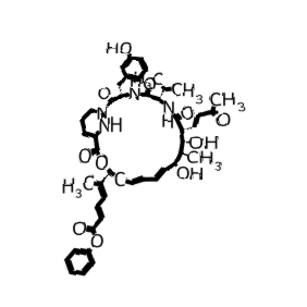 CC(=O)CC[C@H]1C(=O)N[C@@H](C(C)C)C(=O)N[C@@H](Cc2cccc(O)c2)C(=O)N2CCCC(N2)C(=O)O[C@H](/C(C)=C/C=C/C(=O)Oc2ccccc2)C/C=C/C=C/[C@H](O)[C@H](C)[C@H]1O